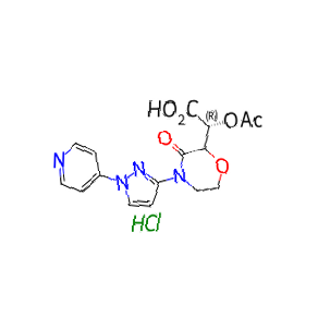 CC(=O)O[C@@H](C(=O)O)C1OCCN(c2ccn(-c3ccncc3)n2)C1=O.Cl